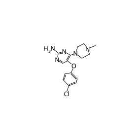 CN1CCN(c2nc(N)ncc2Oc2ccc(Cl)cc2)CC1